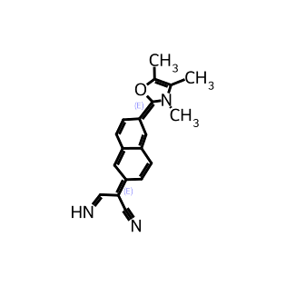 CC1=C(C)N(C)/C(=c2/ccc3c/c(=C(/C#N)C=N)ccc3c2)O1